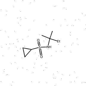 CCC(C)(C)NS(=O)(=O)C1CC1